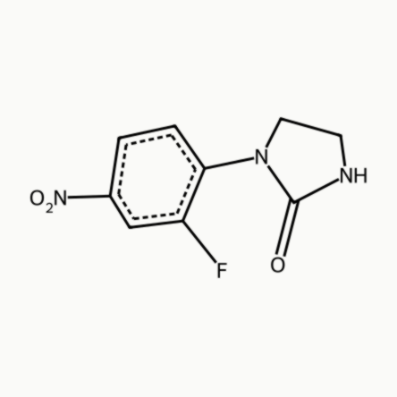 O=C1NCCN1c1ccc([N+](=O)[O-])cc1F